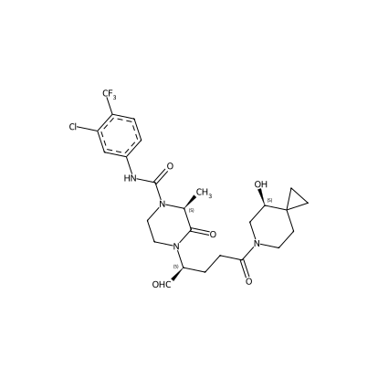 C[C@H]1C(=O)N([C@H](C=O)CCC(=O)N2CCC3(CC3)[C@H](O)C2)CCN1C(=O)Nc1ccc(C(F)(F)F)c(Cl)c1